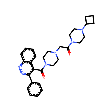 O=C(CN1CCN(C(=O)c2c(-c3ccccc3)nnc3ccccc23)CC1)N1CCN(C2CCC2)CC1